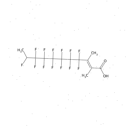 C/C(C(=O)O)=C(/C)C(F)(F)C(F)(F)C(F)(F)C(F)(F)C(F)(F)C(F)(F)C(C)F